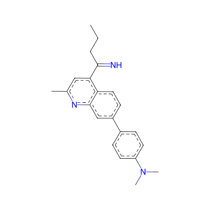 CCCC(=N)c1cc(C)nc2cc(-c3ccc(N(C)C)cc3)ccc12